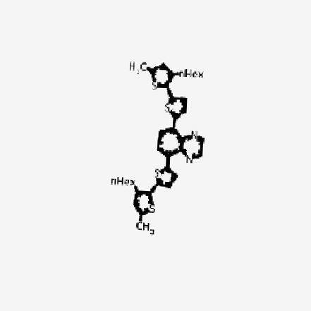 CCCCCCc1cc(C)sc1-c1ccc(-c2ccc(-c3ccc(-c4sc(C)cc4CCCCCC)s3)c3nccnc23)s1